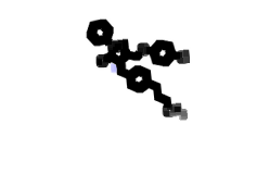 CCCCc1ccc(/C=C2/C(=O)N(c3ccccc3)N=C2COc2ccc(Cl)cc2)cc1